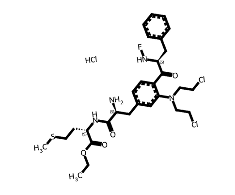 CCOC(=O)[C@H](CCSC)NC(=O)[C@@H](N)Cc1ccc(C(=O)[C@H](Cc2ccccc2)NF)c(N(CCCl)CCCl)c1.Cl